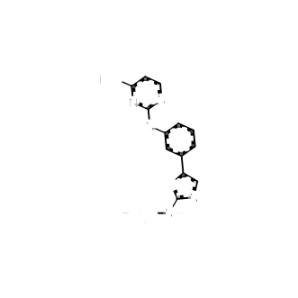 O=C(O)Nc1ncc(-c2cccc(Nc3nccc(C(F)(F)F)n3)c2)s1